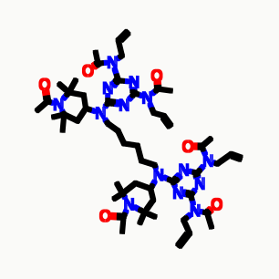 C=CCN(C(C)=O)c1nc(N(CC=C)C(C)=O)nc(N(CCCCCCN(c2nc(N(CC=C)C(C)=O)nc(N(CC=C)C(C)=O)n2)C2CC(C)(C)N(C(C)=O)C(C)(C)C2)C2CC(C)(C)N(C(C)=O)C(C)(C)C2)n1